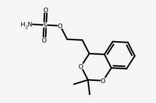 CC1(C)Oc2ccccc2C(CCOS(N)(=O)=O)O1